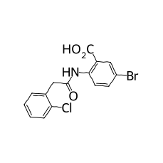 O=C(Cc1ccccc1Cl)Nc1ccc(Br)cc1C(=O)O